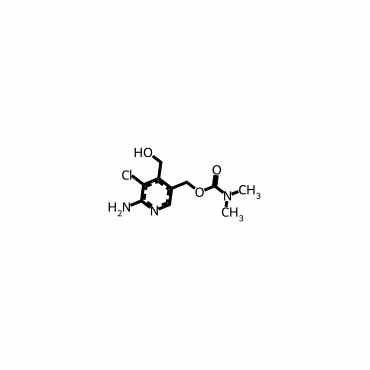 CN(C)C(=O)OCc1cnc(N)c(Cl)c1CO